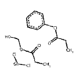 CCC(=O)OCO.CCC(=O)Oc1ccccc1.[Cl][Sn][Cl]